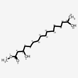 COC(=O)CC(O)CCCCCCCCCCCC(C)O